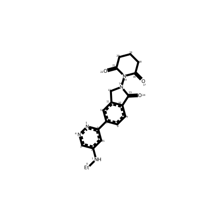 CCNc1cnnc(-c2ccc3c(c2)CN(N2C(=O)CCCC2=O)C3=O)c1